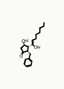 CCCCCCC=C(O)[C@H]1[C@H](O)CC(=O)[C@@H]1Cc1ccccc1